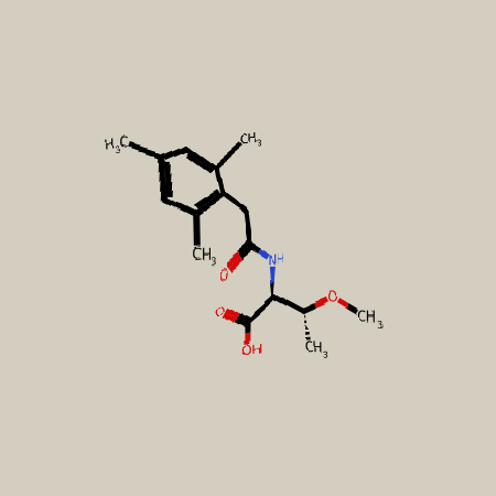 CO[C@H](C)[C@H](NC(=O)Cc1c(C)cc(C)cc1C)C(=O)O